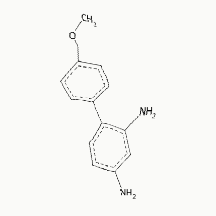 COc1ccc(-c2ccc(N)cc2N)cc1